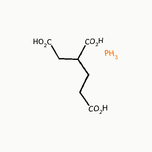 O=C(O)CCC(CC(=O)O)C(=O)O.P